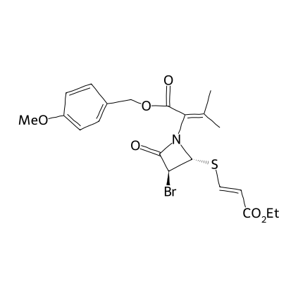 CCOC(=O)/C=C/S[C@@H]1[C@@H](Br)C(=O)N1C(C(=O)OCc1ccc(OC)cc1)=C(C)C